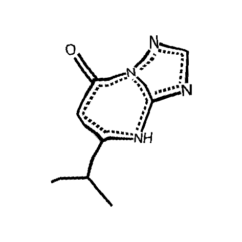 CC(C)c1cc(=O)n2ncnc2[nH]1